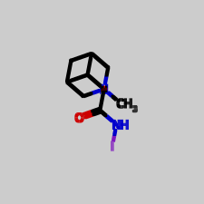 CN1CC2CC(C1)C2CC(=O)NI